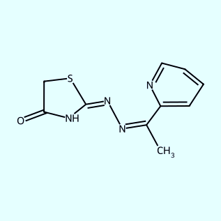 C/C(=N/N=C1\NC(=O)CS1)c1ccccn1